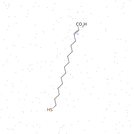 O=C(O)/C=C/CCCCCCCCCCCCCS